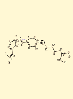 C=C[C@@](C)(/C=C/c1ccc(OCCCCN(CC)CC)cc1)CCC=C(C)C